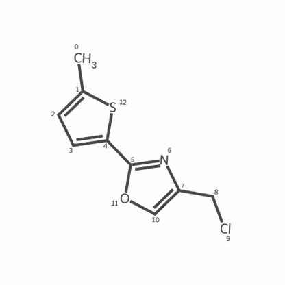 Cc1ccc(-c2nc(CCl)co2)s1